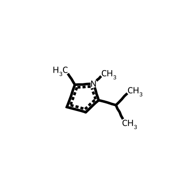 Cc1ccc(C(C)C)n1C